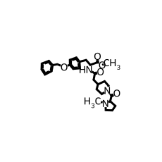 COC(=O)C(Cc1ccc(OCc2ccccc2)cc1)NC(=O)CC1CCN(C(=O)C2CCCN2C)CC1